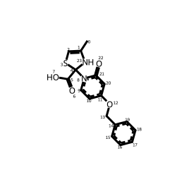 CC1=CSC(C(=O)O)(n2ccc(OCc3ccccc3)cc2=O)N1